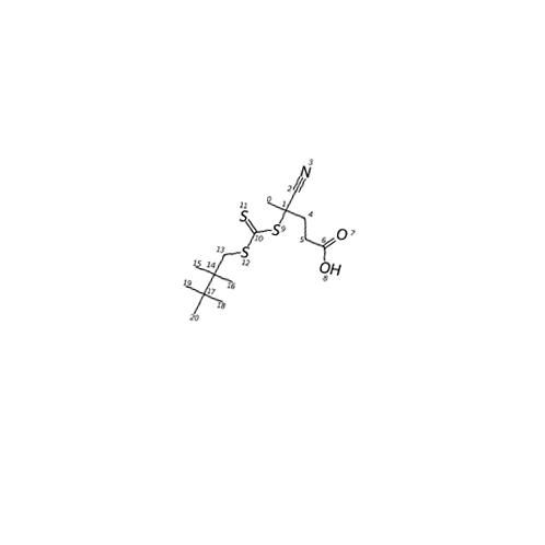 CC(C#N)(CCC(=O)O)SC(=S)SCC(C)(C)C(C)(C)C